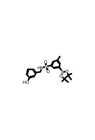 Cc1cc(B2OC(C)(C)C(C)(C)O2)cc(S(=O)(=O)NCc2cccc(O)c2)c1